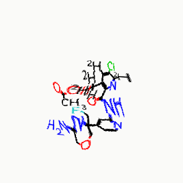 CC(=O)O.[2H]c1nc(C(=O)Nc2cc(C3(CF)COCC(N)=N3)ccn2)c(C([2H])([2H])[2H])c([2H])c1Cl